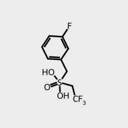 O=S(O)(O)(Cc1cccc(F)c1)CC(F)(F)F